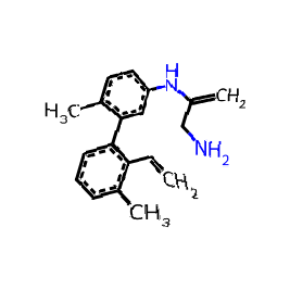 C=Cc1c(C)cccc1-c1cc(NC(=C)CN)ccc1C